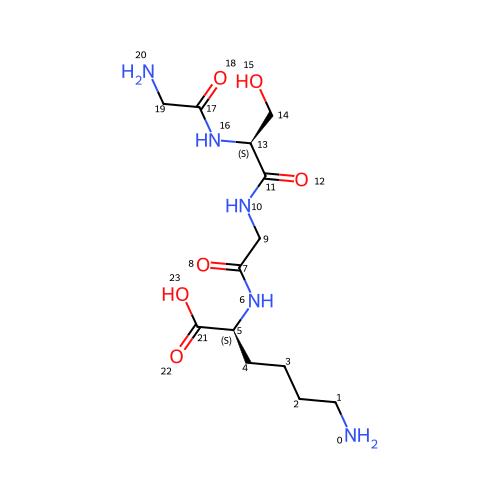 NCCCC[C@H](NC(=O)CNC(=O)[C@H](CO)NC(=O)CN)C(=O)O